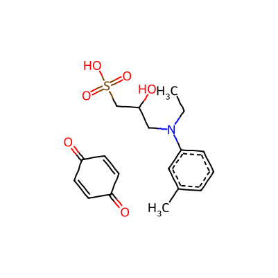 CCN(CC(O)CS(=O)(=O)O)c1cccc(C)c1.O=C1C=CC(=O)C=C1